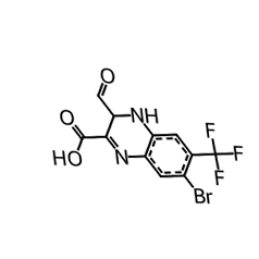 O=CC1Nc2cc(C(F)(F)F)c(Br)cc2N=C1C(=O)O